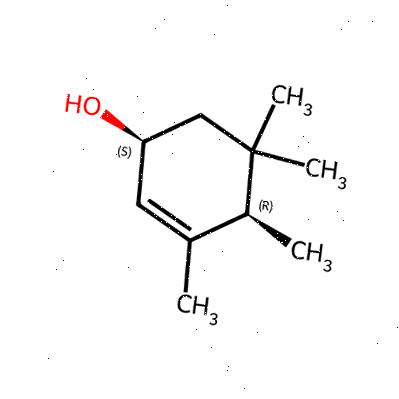 CC1=C[C@@H](O)CC(C)(C)[C@H]1C